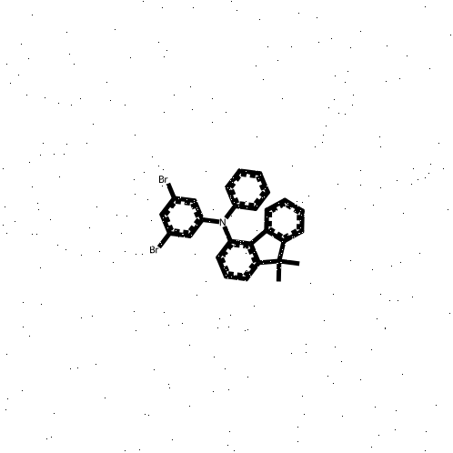 CC1(C)c2ccccc2-c2c(N(c3ccccc3)c3cc(Br)cc(Br)c3)cccc21